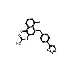 O=C(O)Oc1cn(Cc2ccc(-c3csnn3)cc2)c2c(F)cccc2c1=O